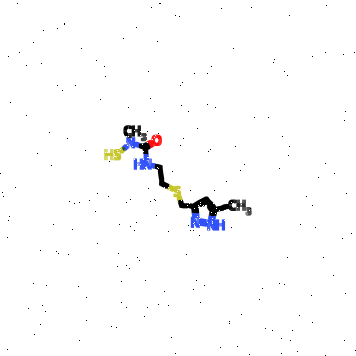 Cc1cc(CSCCNC(=O)N(C)S)n[nH]1